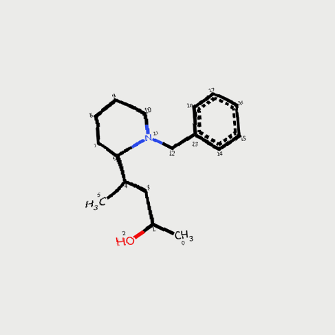 CC(O)CC(C)C1CCCCN1Cc1ccccc1